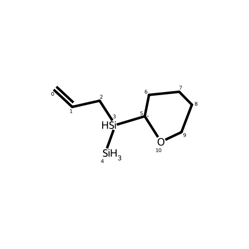 C=CC[SiH]([SiH3])[C]1CCCCO1